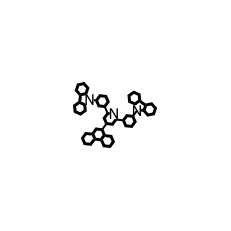 c1cc(-c2cc(-c3cc4ccccc4c4ccccc34)cc(-c3cccc(-n4c5ccccc5c5ccccc54)c3)n2)cc(-n2c3ccccc3c3ccccc32)c1